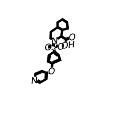 O=C(O)C1C2CCCCC2CCN1S(=O)(=O)c1ccc(Oc2ccncc2)cc1